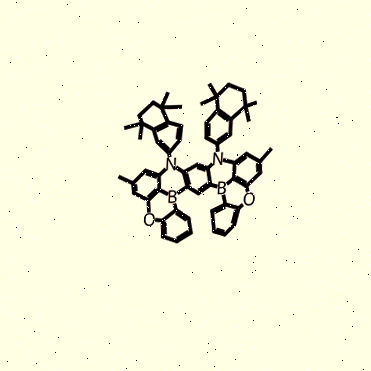 Cc1cc2c3c(c1)N(c1ccc4c(c1)C(C)(C)CCC4(C)C)c1cc4c(cc1B3c1ccccc1O2)B1c2ccccc2Oc2cc(C)cc(c21)N4c1ccc2c(c1)C(C)(C)CCC2(C)C